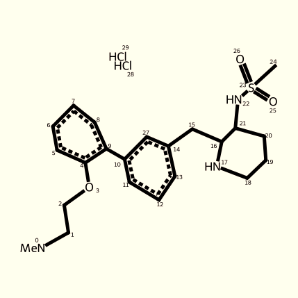 CNCCOc1ccccc1-c1cccc(CC2NCCCC2NS(C)(=O)=O)c1.Cl.Cl